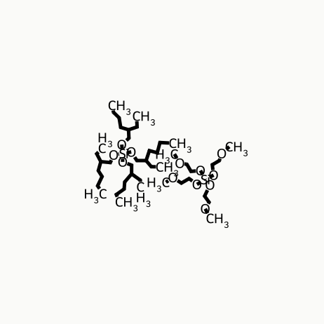 CCCCC(CC)CO[Si](OCC(CC)CCCC)(OCC(CC)CCCC)OCC(CC)CCCC.COCCO[Si](OCCOC)(OCCOC)OCCOC